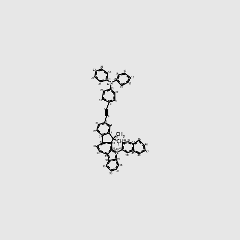 CC1(C)c2cc(C#Cc3ccc(N(c4ccccc4)c4ccccc4)cc3)ccc2-c2ccc3c4ccccc4n(-c4ccc5ccccc5c4)c3c21